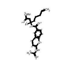 C=CCCCC(CC)(CC(=O)OC)OC(=O)c1ccc2c(c1)CCC(NC(=N)N)O2